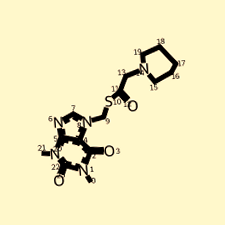 Cn1c(=O)c2c(ncn2CSC(=O)CN2CCCCC2)n(C)c1=O